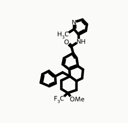 COC1(C(F)(F)F)CCC2(Cc3ccccc3)c3ccc(C(=O)Nc4cccnc4C)cc3CCC2C1